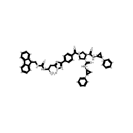 O=C(N[C@@H](Cc1nc(-c2ccc(C(=O)N3C[C@@H](C(=O)N[C@H]4C[C@@H]4c4ccccc4)[C@H](C(=O)N[C@H]4C[C@@H]4c4ccccc4)C3)cc2)no1)C(=O)O)OCC1c2ccccc2-c2ccccc21